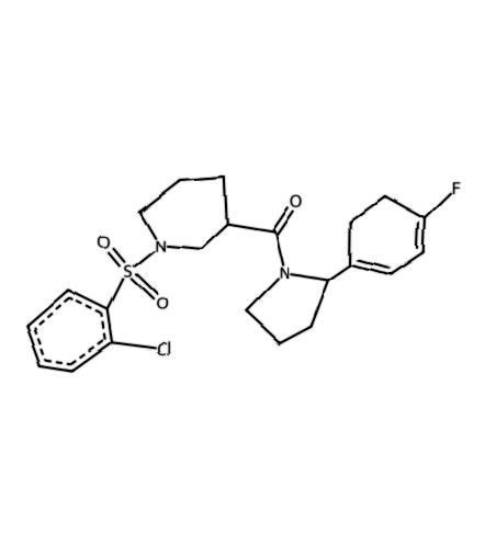 O=C(C1CCCN(S(=O)(=O)c2ccccc2Cl)C1)N1CCCC1C1=CC=C(F)CC1